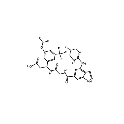 O=C(O)CC(NC(=O)CNC(=O)c1cc(NC2=NCC(F)CN2)c2cn[nH]c2c1)c1cc(OC(F)F)cc(C(F)(F)F)c1